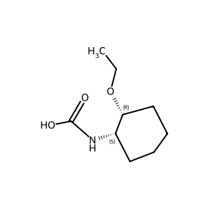 CCO[C@@H]1CCCC[C@@H]1NC(=O)O